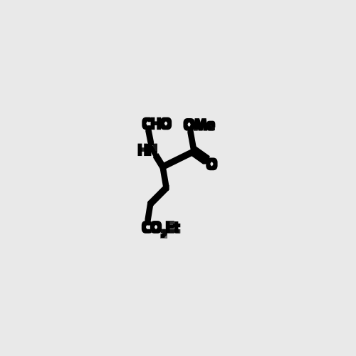 CCOC(=O)CCC(NC=O)C(=O)OC